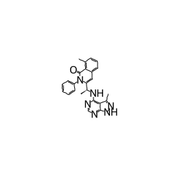 Cc1n[nH]c2ncnc(N[C@@H](C)c3cc4cccc(C)c4c(=O)n3-c3ccccc3)c12